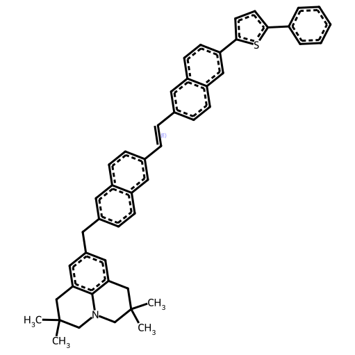 CC1(C)Cc2cc(Cc3ccc4cc(/C=C/c5ccc6cc(-c7ccc(-c8ccccc8)s7)ccc6c5)ccc4c3)cc3c2N(C1)CC(C)(C)C3